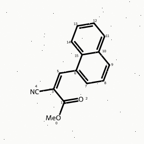 COC(=O)/C(C#N)=C\c1cccc2ccccc12